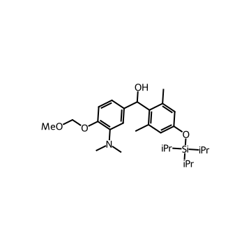 COCOc1ccc(C(O)c2c(C)cc(O[Si](C(C)C)(C(C)C)C(C)C)cc2C)cc1N(C)C